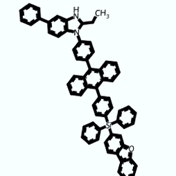 CCC1Nc2cc(-c3ccccc3)ccc2N1c1ccc(-c2c3ccccc3c(-c3ccc([Si](c4ccccc4)(c4ccccc4)c4ccc5c(c4)oc4ccccc45)cc3)c3ccccc23)cc1